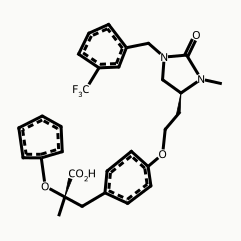 CN1C(=O)N(Cc2cccc(C(F)(F)F)c2)C[C@@H]1CCOc1ccc(C[C@](C)(Oc2ccccc2)C(=O)O)cc1